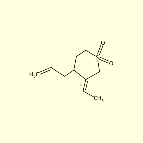 C=CCC1CCS(=O)(=O)C/C1=C\C